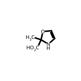 CC1(C(=O)O)NC=CO1